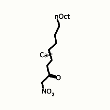 CCCCCCCCCCCCCCC(=O)C[N+](=O)[O-].[Ca+2]